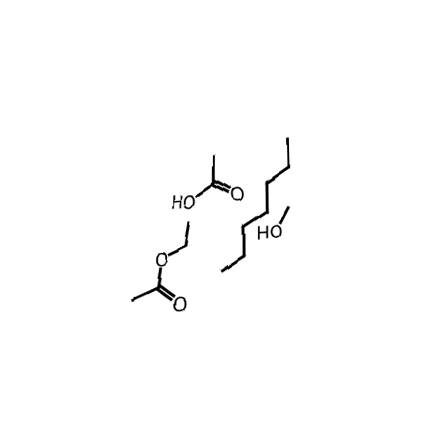 CC(=O)O.CCCCCCC.CCOC(C)=O.CO